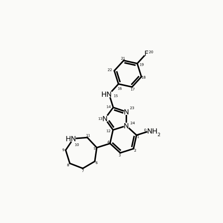 Nc1ccc(C2CCCCNC2)c2nc(Nc3ccc(F)cc3)nn12